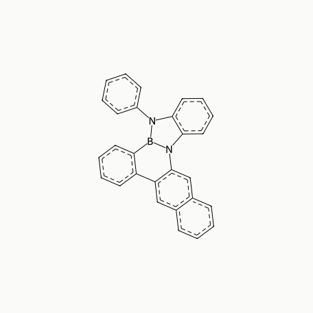 c1ccc(N2B3c4ccccc4-c4cc5ccccc5cc4N3c3ccccc32)cc1